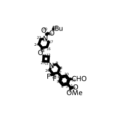 COC(=O)c1ccc(C2CCN([C@H]3C[C@H](OC4CCN(C(=O)OC(C)(C)C)CC4)C3)CC2(F)F)cc1C=O